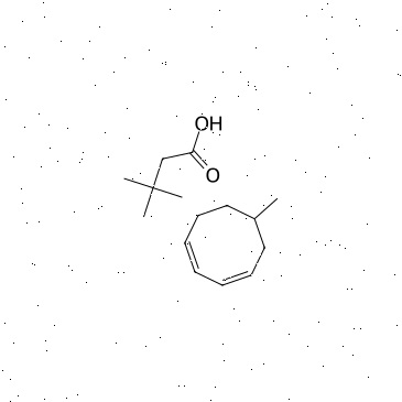 CC(C)(C)CC(=O)O.CC1CC=CC=CCC1